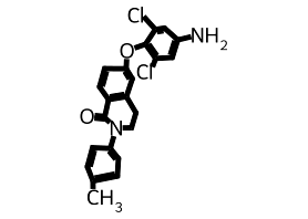 Cc1ccc(N2CCc3cc(Oc4c(Cl)cc(N)cc4Cl)ccc3C2=O)cc1